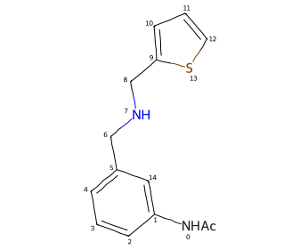 CC(=O)Nc1cccc(CNCc2cccs2)c1